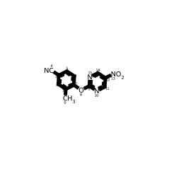 Cc1cc(C#N)ccc1Oc1ncc([N+](=O)[O-])cn1